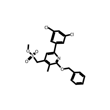 COS(=O)(=O)Cc1cc(-c2cc(Cl)cc(Cl)c2)nc(OCc2ccccc2)c1C